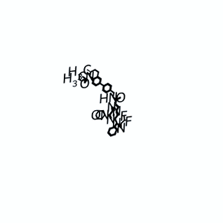 CC(=O)N1c2ccc(-c3ccc(CNC(=O)c4cn5cc(-n6c(C(F)F)nc7ccccc76)nc(N6CCOCC6)c5n4)cc3)cc2CC[C@@H]1C